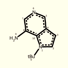 CC(C)(C)n1ccc2cncc(N)c21